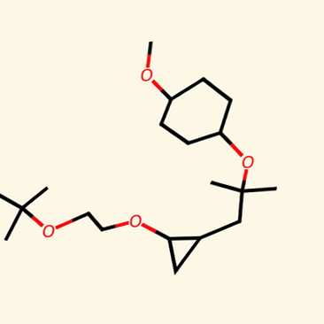 COC1CCC(OC(C)(C)CC2CC2OCCOC(C)(C)C)CC1